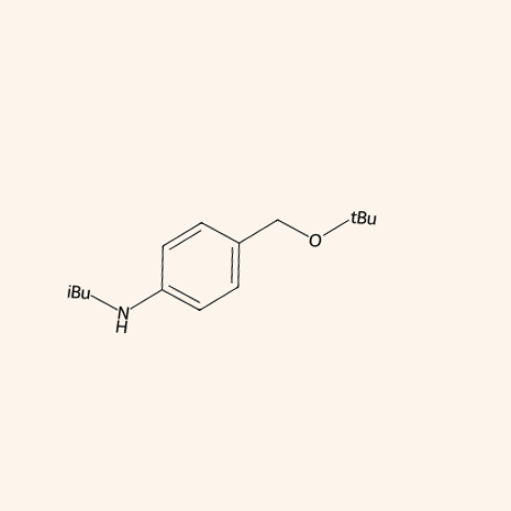 CCC(C)Nc1ccc(COC(C)(C)C)cc1